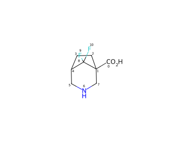 O=C(O)C12CCC(CNC1)C2(F)F